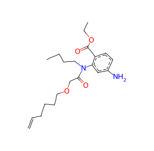 C=CCCCCOCC(=O)N(CCCC)c1cc(N)ccc1C(=O)OCC